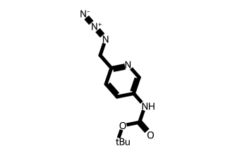 CC(C)(C)OC(=O)Nc1ccc(CN=[N+]=[N-])nc1